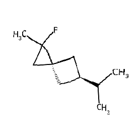 CC(C)[C@H]1C[C@@]2(CC2(C)F)C1